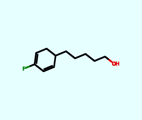 OCCCCCC1C=CC(F)=CC1